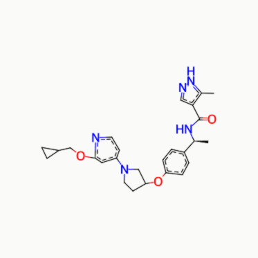 Cc1[nH]ncc1C(=O)N[C@@H](C)c1ccc(OC2CCN(c3ccnc(OCC4CC4)c3)C2)cc1